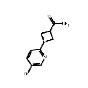 NC(=O)C1CN(c2ccc(Br)cn2)C1